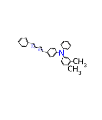 Cc1ccc(N(c2ccccc2)c2ccc(/C=C/C=C/c3ccccc3)cc2)cc1C